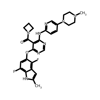 Cc1cc2c(F)c(Oc3ncnc(Nc4ccc(N5CCN(C)CC5)cn4)c3C(=O)N3CCC3)cc(F)c2[nH]1